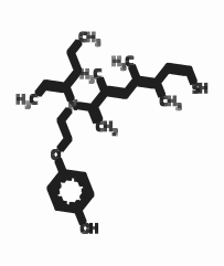 C=C(/C(C)=C/C(C)=C(C)/C=C\S)N(CCOc1ccc(O)cc1)/C(=C\C)CCC